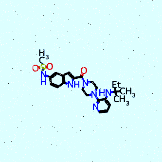 CCC(C)(C)Nc1cccnc1N1CCN(C(=O)c2cc3cc(NS(C)(=O)=O)ccc3[nH]2)CC1